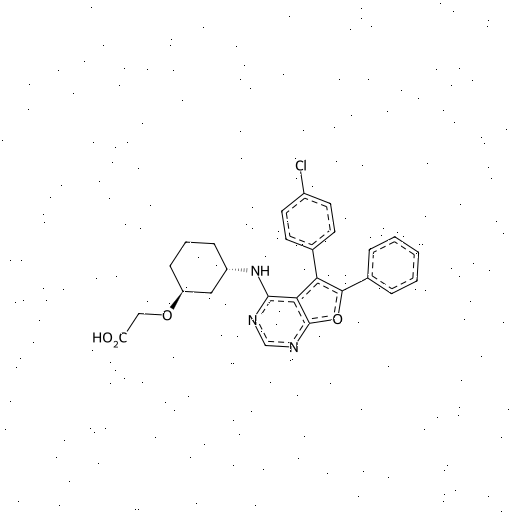 O=C(O)CO[C@H]1CCC[C@H](Nc2ncnc3oc(-c4ccccc4)c(-c4ccc(Cl)cc4)c23)C1